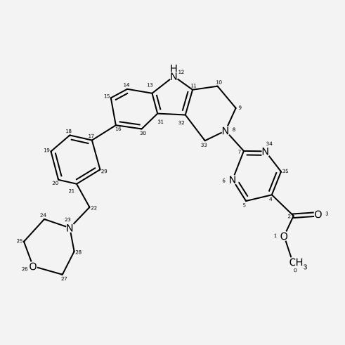 COC(=O)c1cnc(N2CCc3[nH]c4ccc(-c5cccc(CN6CCOCC6)c5)cc4c3C2)nc1